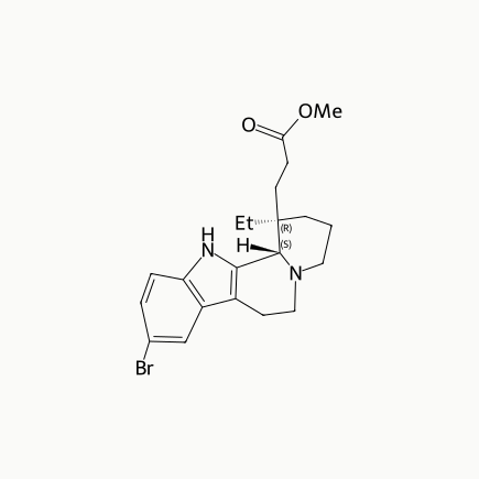 CC[C@]1(CCC(=O)OC)CCCN2CCc3c([nH]c4ccc(Br)cc34)[C@@H]21